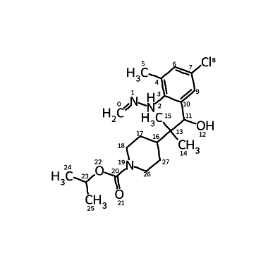 C=NNc1c(C)cc(Cl)cc1C(O)C(C)(C)C1CCN(C(=O)OC(C)C)CC1